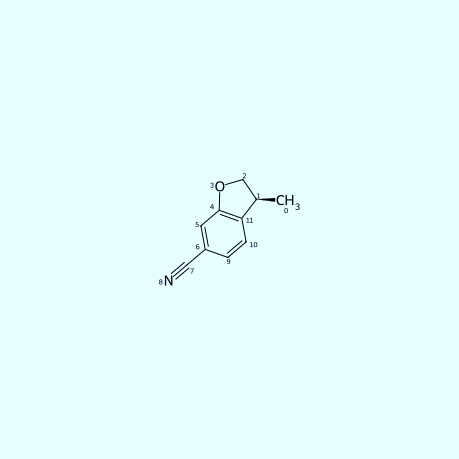 C[C@@H]1COc2cc(C#N)ccc21